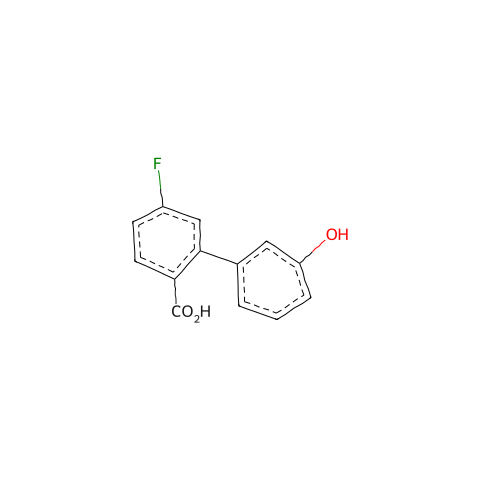 O=C(O)c1ccc(F)cc1-c1cccc(O)c1